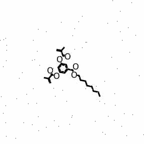 C=C(C)C(=O)Oc1cc(OC(=O)C(=C)C)cc(C(=O)OCCCCCCCC)c1